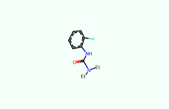 CCN(CC)C(=O)Nc1ccccc1F